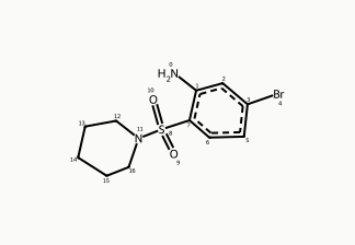 Nc1cc(Br)ccc1S(=O)(=O)N1CCCCC1